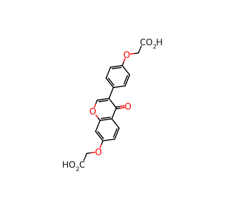 O=C(O)COc1ccc(-c2coc3cc(OCC(=O)O)ccc3c2=O)cc1